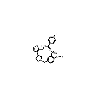 COc1ccc(CN2CCC(c3ncsc3CNC(=O)c3ccc(Cl)cc3)C2)cc1OC